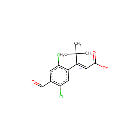 CC(C)(C)/C(=C\C(=O)O)c1cc(Cl)c(C=O)cc1Cl